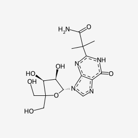 CC(C)(C(N)=O)c1nc2c(ncn2[C@@H]2OC(CO)(CO)[C@@H](O)[C@H]2O)c(=O)[nH]1